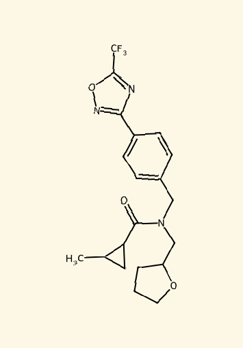 CC1CC1C(=O)N(Cc1ccc(-c2noc(C(F)(F)F)n2)cc1)CC1CCCO1